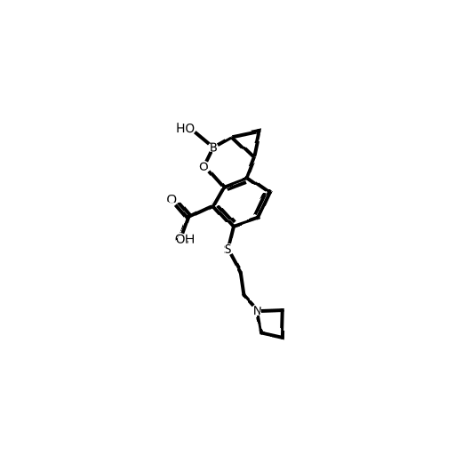 O=C(O)c1c(SCCN2CCC2)ccc2c1OB(O)C1CC21